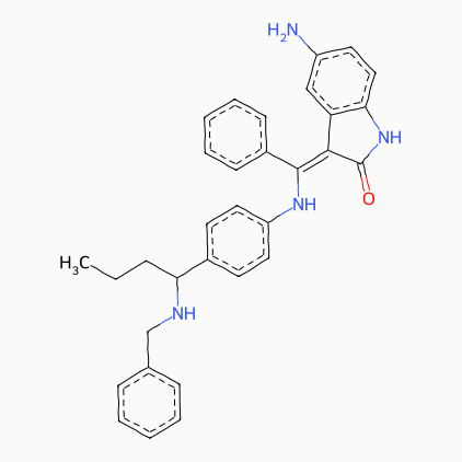 CCCC(NCc1ccccc1)c1ccc(N/C(=C2\C(=O)Nc3ccc(N)cc32)c2ccccc2)cc1